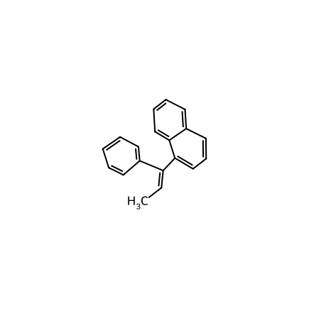 CC=C(c1ccccc1)c1cccc2ccccc12